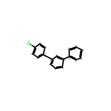 Clc1ccc(-c2cccc(-c3ccccc3)c2)cc1